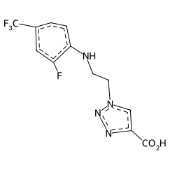 O=C(O)c1cn(CCNc2ccc(C(F)(F)F)cc2F)nn1